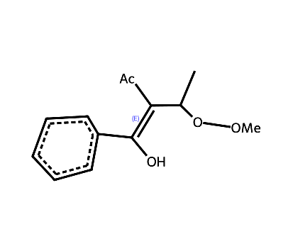 COOC(C)/C(C(C)=O)=C(\O)c1ccccc1